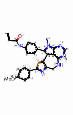 C=CC(=O)Nc1ccc(-c2c3c4c(ncnc4n2C)NCc2nc(-c4ccc(OC)cc4)sc2-3)cc1